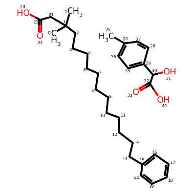 CC(C)(CCCCCCCCCCCCc1ccccc1)CC(=O)O.Cc1ccc(C(O)C(=O)O)cc1